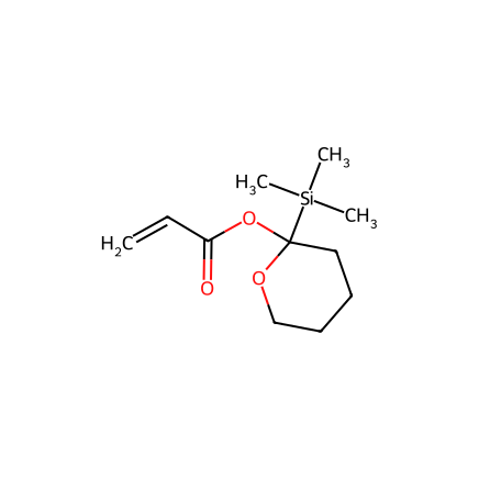 C=CC(=O)OC1([Si](C)(C)C)CCCCO1